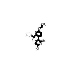 CCOc1ccc(-c2ncc(Cl)nc2Br)c(C(N)=O)n1